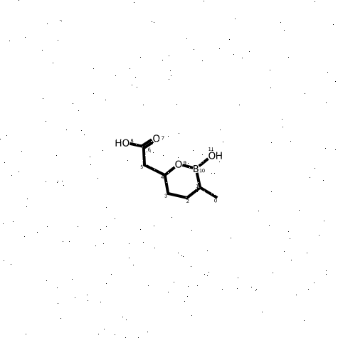 CC1CCC(CC(=O)O)OB1O